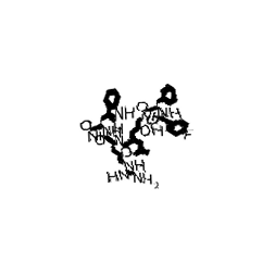 CC(C)CC(C[C@@H](O)CNC(=O)[C@H](Cc1ccccc1)NC(=O)c1ccc(F)cc1)C(=O)N[C@@H](CCCNC(=N)N)C(=O)N[C@@H](Cc1c[nH]c2ccccc12)C(N)=O